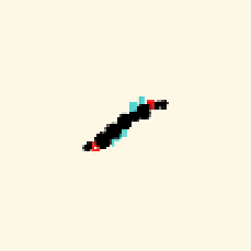 CCCCOc1ccc(/C=C/c2ccc(-c3ccc(-c4ccc(OCCC)cc4)c(F)c3F)cc2)c(F)c1F